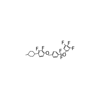 CC1CCC(c2ccc(OCc3ccc(C(F)(F)Oc4cc(F)c(F)c(F)c4)cc3)c(F)c2F)CC1